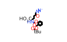 CC(C)(C)C(=O)OC(OC(=O)NC(CCC(=O)C=[N+]=[N-])C(=O)O)c1ccccc1